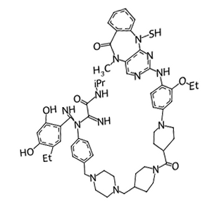 CCOc1cc(N2CCC(C(=O)N3CCC(CN4CCN(Cc5ccc(N(C(=N)C(=O)NC(C)C)C(=N)c6cc(CC)c(O)cc6O)cc5)CC4)CC3)CC2)ccc1Nc1ncc2c(n1)N(S)c1ccccc1C(=O)N2C